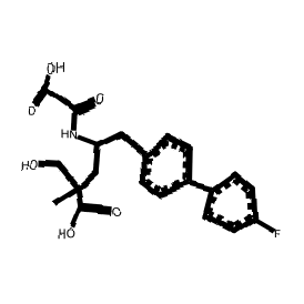 CC(CO)(CC(Cc1ccc(-c2ccc(F)cc2)cc1)NC(=O)C(=O)O)C(=O)O